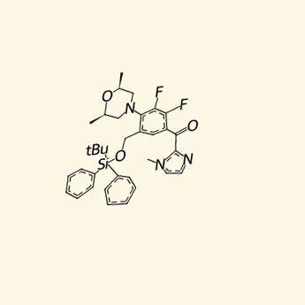 C[C@@H]1CN(c2c(CO[Si](c3ccccc3)(c3ccccc3)C(C)(C)C)cc(C(=O)c3nccn3C)c(F)c2F)C[C@H](C)O1